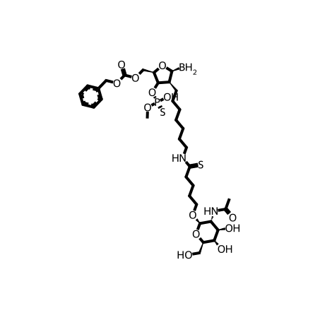 B[C@@H]1O[C@H](COC(=O)OCc2ccccc2)C(OP(O)(=S)OC)[C@@H]1CCCCCCCNC(=S)CCCCO[C@@H]1O[C@H](CO)[C@H](O)[C@H](O)[C@H]1NC(C)=O